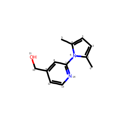 Cc1ccc(C)n1-c1cc(CO)ccn1